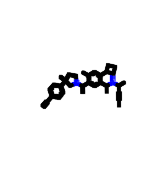 C#Cc1ccc(C2(C)CCN(C(=C)c3cc(C(C)NC(C)C#CC)c(C4CCC4)cc3C)C2)cc1